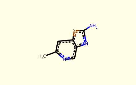 Cc1cc2sc(N)nc2cn1